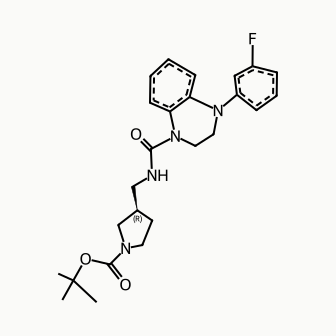 CC(C)(C)OC(=O)N1CC[C@H](CNC(=O)N2CCN(c3cccc(F)c3)c3ccccc32)C1